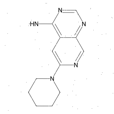 [NH]c1ncnc2cnc(N3CCCCC3)cc12